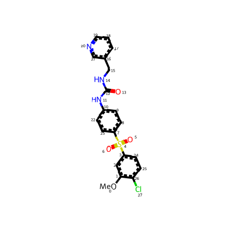 COc1cc(S(=O)(=O)c2ccc(NC(=O)NCc3cccnc3)cc2)ccc1Cl